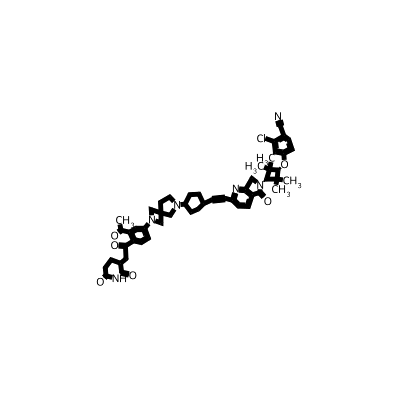 CC(=O)c1cc(N2CC3(CCN(C4CCC(C#Cc5ccc6c(n5)CN([C@H]5C(C)(C)[C@H](Oc7ccc(C#N)c(Cl)c7)C5(C)C)C6=O)CC4)C3)C2)ccc1C(=O)CC1CCC(=O)NC1=O